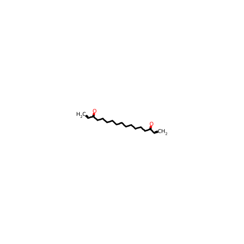 C=CC(=O)CCCCCCCCCCCC(=O)C=C